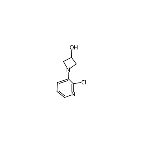 OC1CN(c2cccnc2Cl)C1